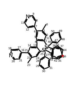 Cc1cc2c(cc1-c1ccncc1)-c1cc(-c3ccncc3)c(C)cc1[Si](c1ccccc1)(c1ccccc1)[Si]2(c1ccccc1)c1ccccc1